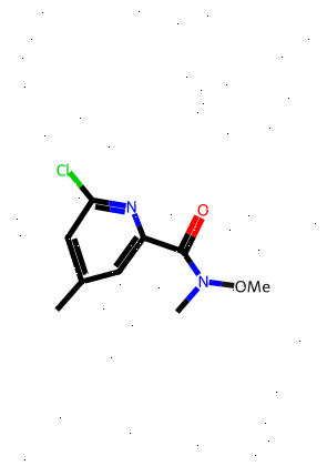 CON(C)C(=O)c1cc(C)cc(Cl)n1